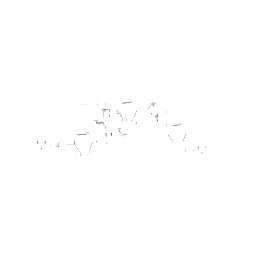 COc1ccc(CNC(=O)c2ccc3c(c2)c(=O)n(Cc2ccc(OC)cc2)c(=O)n3C)cc1